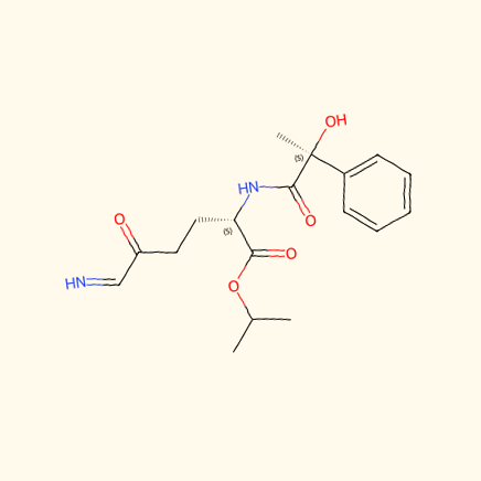 CC(C)OC(=O)[C@H](CCC(=O)C=N)NC(=O)[C@@](C)(O)c1ccccc1